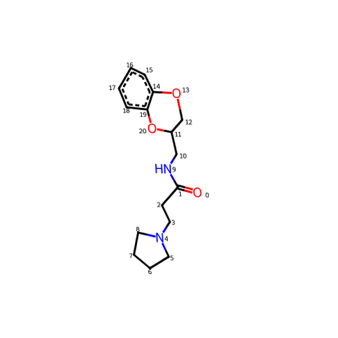 O=C(CCN1CCCC1)NCC1COc2ccccc2O1